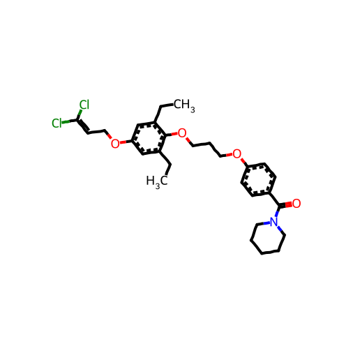 CCc1cc(OCC=C(Cl)Cl)cc(CC)c1OCCCOc1ccc(C(=O)N2CCCCC2)cc1